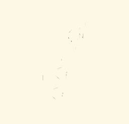 CCc1cc(OCC2Cn3cc(C)c(=O)nc3O2)ccc1-c1cccc(C)c1C